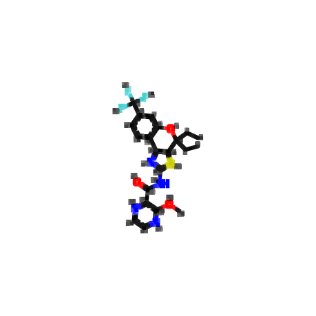 CCC1(CC)Oc2cc(C(F)(F)F)ccc2-c2nc(NC(=O)c3nccnc3OC)sc21